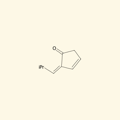 CC(C)C=C1C=CCC1=O